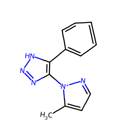 CC1=CC=N[N+]1c1nn[nH]c1-c1ccccc1